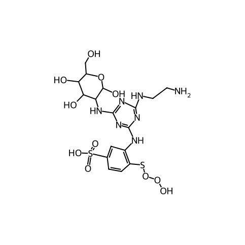 NCCNc1nc(Nc2cc(S(=O)(=O)O)ccc2SOOO)nc(NC2C(O)OC(CO)C(O)C2O)n1